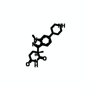 Cn1nc([C@@]2(C)CCC(=O)NC2=O)c2ccc(C3CCNCC3)cc21